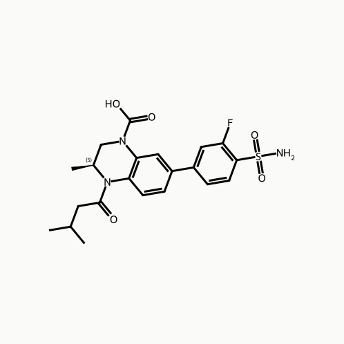 CC(C)CC(=O)N1c2ccc(-c3ccc(S(N)(=O)=O)c(F)c3)cc2N(C(=O)O)C[C@@H]1C